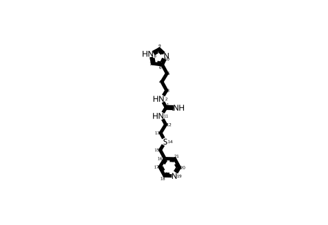 N=C(NCCCc1c[nH]cn1)NCCSCc1ccncc1